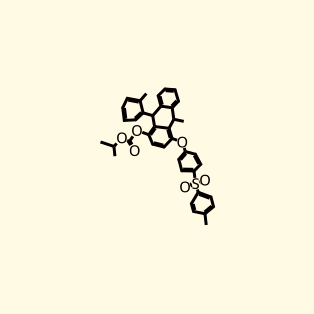 Cc1ccc(S(=O)(=O)c2ccc(Oc3ccc(OC(=O)OC(C)C)c4c3C(C)c3ccccc3C4c3ccccc3C)cc2)cc1